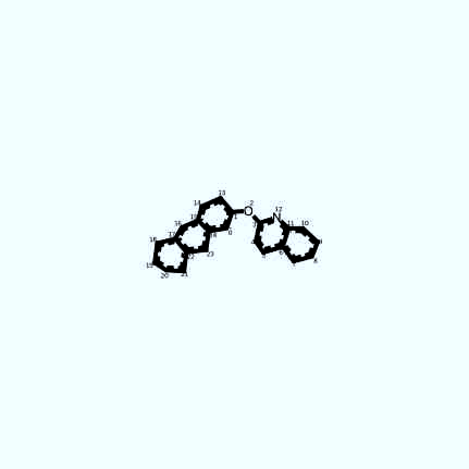 [c]1c(Oc2ccc3ccccc3n2)ccc2cc3ccccc3cc12